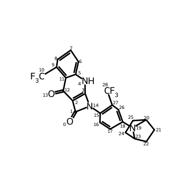 O=C1c2c([nH]c3cccc(C(F)(F)F)c3c2=O)N1c1ccc(N2C3CCC2CC3)cc1C(F)(F)F